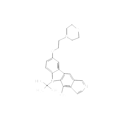 Cc1c2ccncc2cc2c3cc(OCCN4CCOCC4)ccc3n(C(C)(C)C)c12